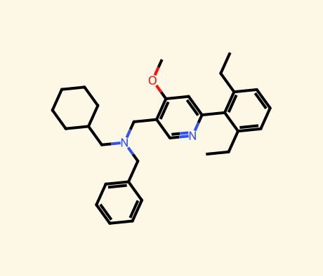 CCc1cccc(CC)c1-c1cc(OC)c(CN(Cc2ccccc2)CC2CCCCC2)cn1